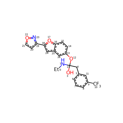 CCNC(O)(Cc1cccc(C(F)(F)F)c1)Oc1ccc2oc(-c3ccon3)cc2c1